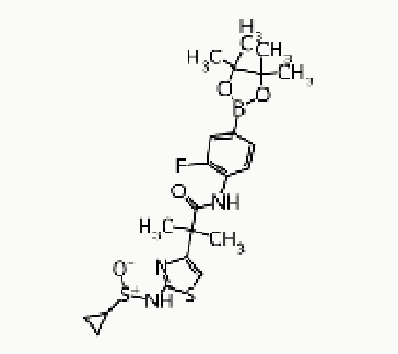 CC(C)(C(=O)Nc1ccc(B2OC(C)(C)C(C)(C)O2)cc1F)c1csc(N[S+]([O-])C2CC2)n1